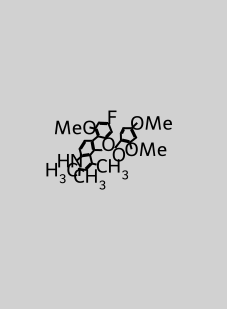 COc1ccc(C(=O)OCc2c(-c3ccc(F)cc3OC)ccc3c2C(C)=CC(C)(C)N3)c(OC)c1